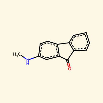 CNc1ccc2c(c1)C(=O)c1ccccc1-2